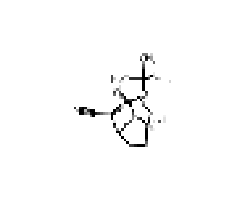 CC(C)(C)OC(=O)N1C2CC[C@@H]1CCC=C2C#N